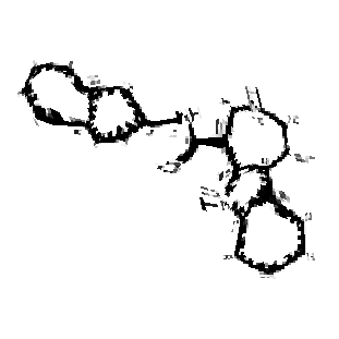 O=C(Nc1ccc2ccccc2c1)C1CNCCc2c1[nH]c1ccccc21